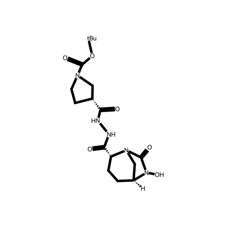 CC(C)(C)OC(=O)N1CC[C@@H](C(=O)NNC(=O)[C@H]2CC[C@H]3CN2C(=O)N3O)C1